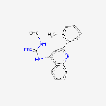 Cc1ccccc1-c1cc(NC(=N)NC=O)c2ccccc2n1